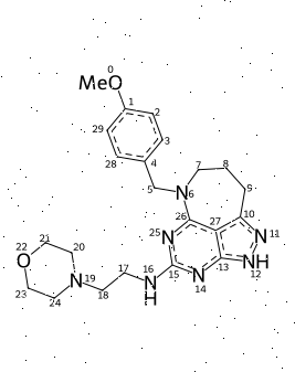 COc1ccc(CN2CCCc3n[nH]c4nc(NCCN5CCOCC5)nc2c34)cc1